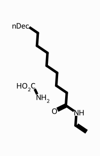 C=CNC(=O)CCCCCCCCCCCCCCCCC.NC(=O)O